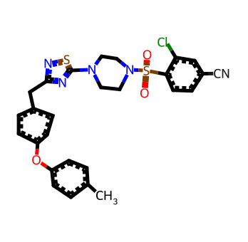 Cc1ccc(Oc2ccc(Cc3nsc(N4CCN(S(=O)(=O)c5ccc(C#N)cc5Cl)CC4)n3)cc2)cc1